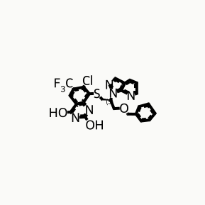 Oc1nc(O)c2cc(C(F)(F)F)c(Cl)c(SC[C@H](COCc3ccccc3)n3ncc4cccnc43)c2n1